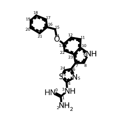 N=C(N)Nc1nc(-c2c[nH]c3ccc(OCc4ccccc4)cc23)cs1